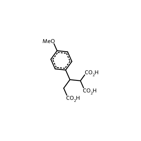 COc1ccc(C(CC(=O)O)C(C(=O)O)C(=O)O)cc1